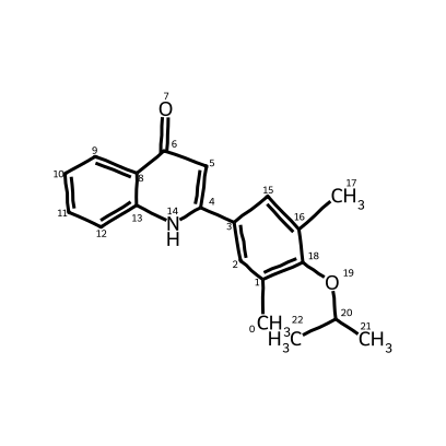 Cc1cc(-c2cc(=O)c3ccccc3[nH]2)cc(C)c1OC(C)C